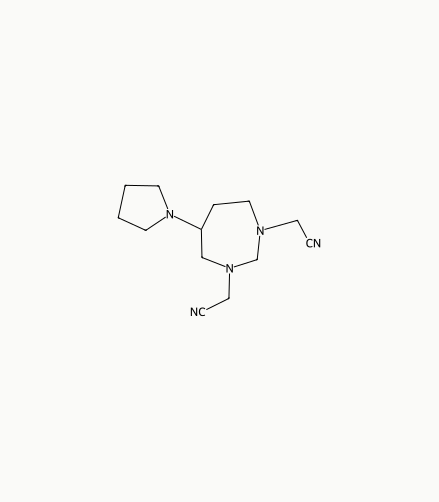 N#CCN1CCC(N2CCCC2)CN(CC#N)C1